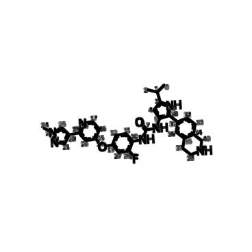 CC(C)c1cc(NC(=O)Nc2ccc(Oc3ccnc(-c4cnn(C)c4)c3)cc2F)c(-c2ccc3c(c2)CCNC3)[nH]1